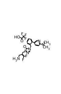 CN(C)c1ccc(-c2ccccc2Cn2cnn(CC(CN)=C(F)F)c2=O)cn1.O=C(O)C(F)(F)F